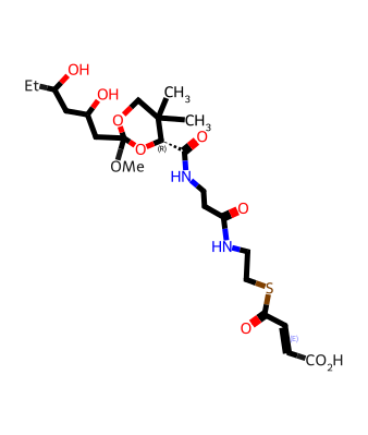 CCC(O)CC(O)CC1(OC)OCC(C)(C)[C@H](C(=O)NCCC(=O)NCCSC(=O)/C=C/C(=O)O)O1